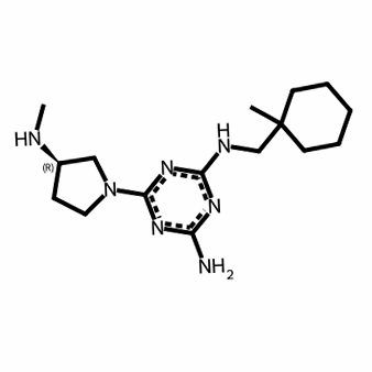 CN[C@@H]1CCN(c2nc(N)nc(NCC3(C)CCCCC3)n2)C1